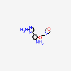 Nc1nccc(-c2ccc(N)c(OCCN3CCOCC3)c2)n1